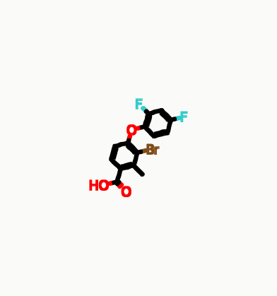 Cc1c(C(=O)O)ccc(Oc2ccc(F)cc2F)c1Br